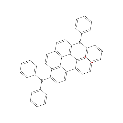 c1ccc(B(c2ccccc2)c2ccc3c4ccccc4c4c(N(c5ccccc5)c5cccnc5)ccc5ccc2c3c54)cc1